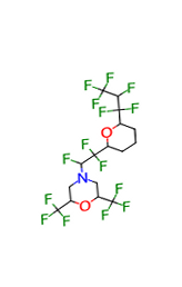 FC(N1CC(C(F)(F)F)OC(C(F)(F)F)C1)C(F)(F)C1CCCC(C(F)(F)C(F)C(F)(F)F)O1